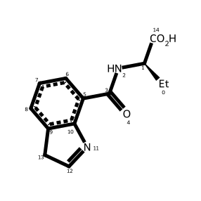 CC[C@@H](NC(=O)c1cccc2c1N=CC2)C(=O)O